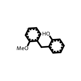 COc1c[c]ccc1Cc1ccccc1O